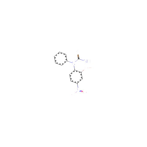 NC(=S)N(c1ccccc1)c1ccc([N+](=O)[O-])cc1O